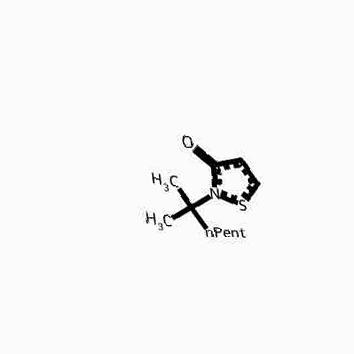 CCCCCC(C)(C)n1sccc1=O